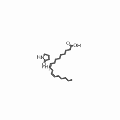 CCCCC/C=C\C/C=C\CCCCCCCC(=O)O.O=C1CCCN1.P